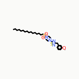 CCCCCCCCCCCCCCCCS(=O)(=O)N1CCN(c2nc(Cc3cccc(OC)c3)ns2)CC1